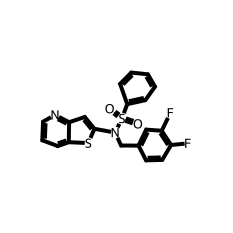 O=S(=O)(c1ccccc1)N(Cc1ccc(F)c(F)c1)c1cc2ncccc2s1